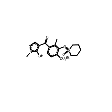 CCOC(=O)c1ccc(C(=O)c2cnn(C)c2O)c(C)c1N=S1(=O)CCCCC1